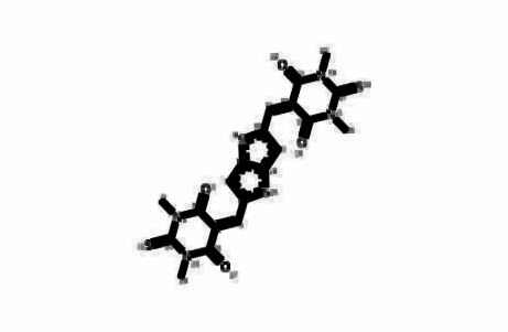 CN1C(=O)C(=Cc2cc3sc(C=C4C(=O)N(C)C(=S)N(C)C4=O)cc3s2)C(=O)N(C)C1=S